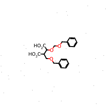 O=C(O)C(COCc1ccccc1)C(OCOCc1ccccc1)C(=O)O